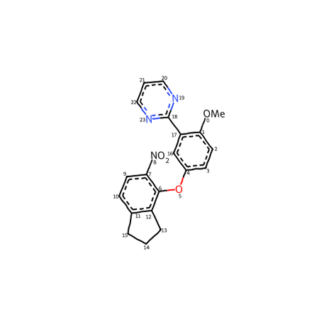 COc1ccc(Oc2c([N+](=O)[O-])ccc3c2CCC3)cc1-c1ncccn1